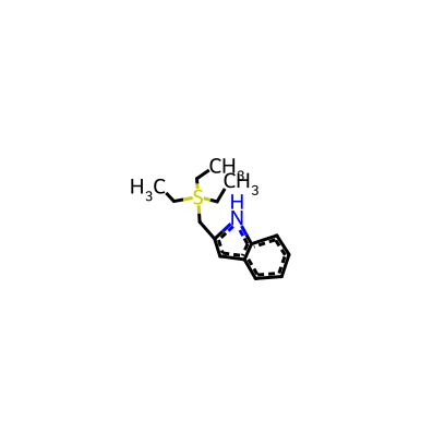 CCS(CC)(CC)Cc1cc2ccccc2[nH]1